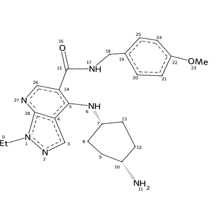 CCn1ncc2c(N[C@H]3CC[C@@H](N)CC3)c(C(=O)NCc3ccc(OC)cc3)cnc21